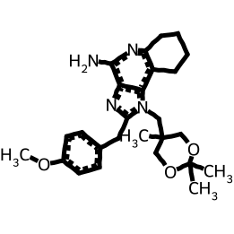 COc1ccc(Cc2nc3c(N)nc4c(c3n2CC2(C)COC(C)(C)OC2)CCCC4)cc1